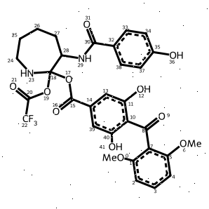 COc1cccc(OC)c1C(=O)c1c(O)cc(C(=O)OC2(OC(=O)C(F)(F)F)NCCCCC2NC(=O)c2ccc(O)cc2)cc1O